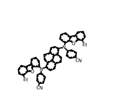 CCc1cccc2c1oc1c(N(c3ccc(C#N)cc3)c3ccc4ccc5c(N(c6ccc(C#N)cc6)c6cccc7c6oc6c(CC)cccc67)ccc6ccc3c4c65)cccc12